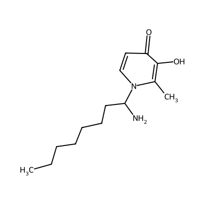 CCCCCCCC(N)n1ccc(=O)c(O)c1C